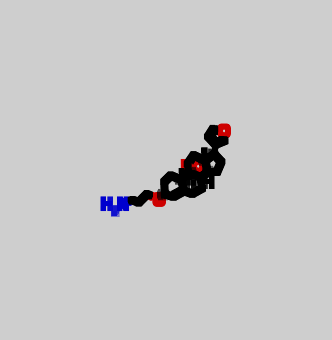 C[C@]12CC[C@H](OCCCN)C=C1CC[C@@H]1[C@@H]2CC[C@]2(C)[C@@H](c3ccoc3)CC[C@]12O